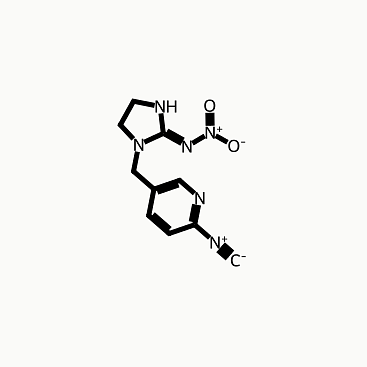 [C-]#[N+]c1ccc(CN2CCN/C2=N\[N+](=O)[O-])cn1